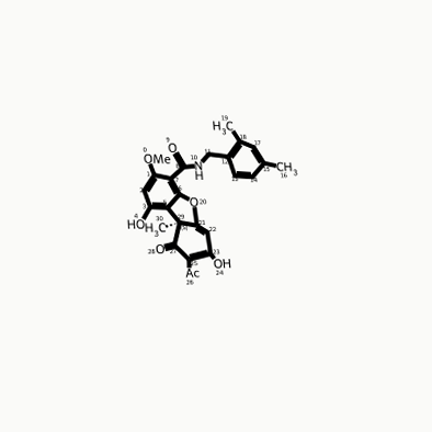 COc1cc(O)c2c(c1C(=O)NCc1ccc(C)cc1C)OC1=CC(O)=C(C(C)=O)C(=O)[C@]12C